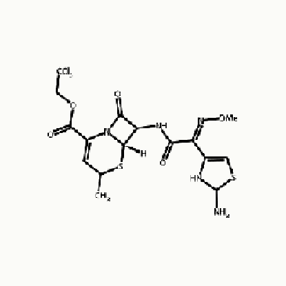 CON=C(C(=O)NC1C(=O)N2C(C(=O)OCC(Cl)(Cl)Cl)=CC(C)S[C@@H]12)C1=CSC(N)N1